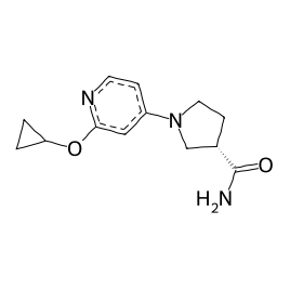 NC(=O)[C@H]1CCN(c2ccnc(OC3CC3)c2)C1